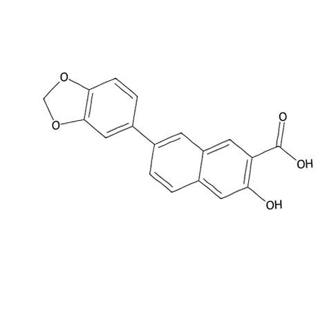 O=C(O)c1cc2cc(-c3ccc4c(c3)OCO4)ccc2cc1O